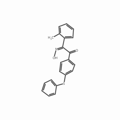 Cc1ccccc1C(=NO)C(=O)c1ccc(Sc2ccccc2)cc1